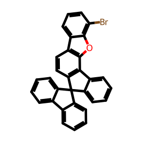 Brc1cccc2c1oc1c3c(ccc12)C1(c2ccccc2-c2ccccc21)c1ccccc1-3